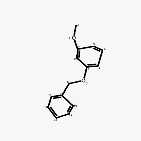 COc1cccc(OCc2ccccc2)c1